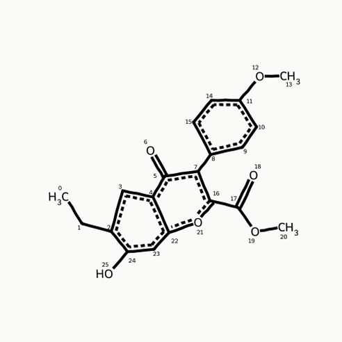 CCc1cc2c(=O)c(-c3ccc(OC)cc3)c(C(=O)OC)oc2cc1O